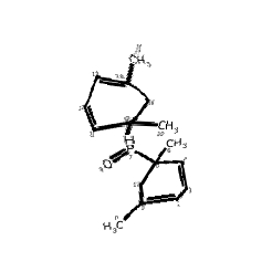 CC1=CC=CC(C)([PH](=O)C2(C)C=CC=C(C)C2)C1